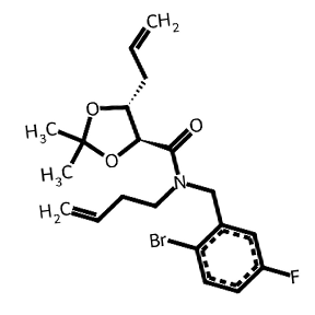 C=CCCN(Cc1cc(F)ccc1Br)C(=O)[C@H]1OC(C)(C)O[C@@H]1CC=C